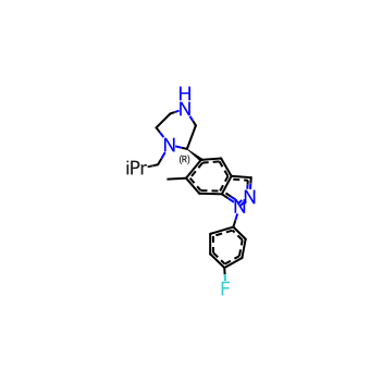 Cc1cc2c(cnn2-c2ccc(F)cc2)cc1[C@@H]1CNCCN1CC(C)C